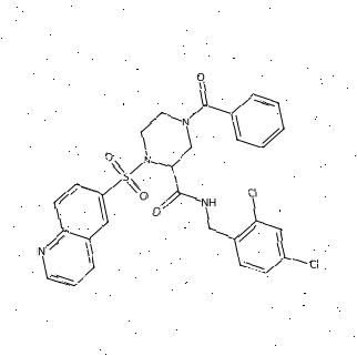 O=C(NCc1ccc(Cl)cc1Cl)C1CN(C(=O)c2ccccc2)CCN1S(=O)(=O)c1ccc2ncccc2c1